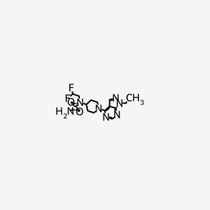 CCn1ncc2c(N3CCC(N(CC(F)F)S(N)(=O)=O)CC3)ncnc21